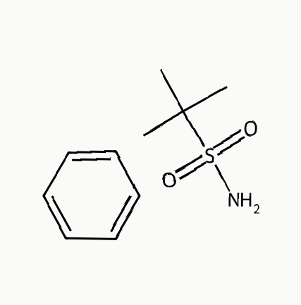 CC(C)(C)S(N)(=O)=O.c1ccccc1